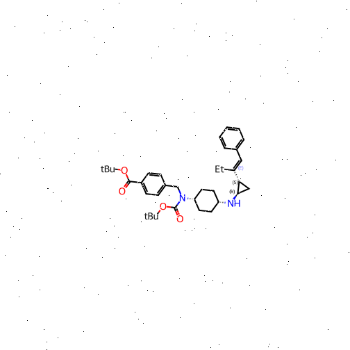 CC/C(=C\c1ccccc1)[C@@H]1C[C@H]1N[C@H]1CC[C@@H](N(Cc2ccc(C(=O)OC(C)(C)C)cc2)C(=O)OC(C)(C)C)CC1